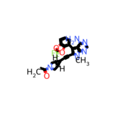 C=CC(=O)N1C[C@@H]2C(C#Cc3c(-c4cccc5c4OC(F)(F)O5)c4c(N)ncnc4n3C)[C@@H]2C1